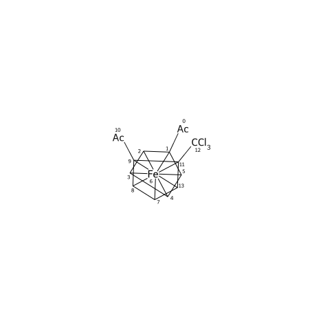 CC(=O)[C]12[CH]3[CH]4[CH]5[CH]1[Fe]45321678[CH]2[CH]1[C]6(C(C)=O)[C]7(C(Cl)(Cl)Cl)[CH]28